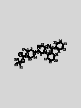 C[C@H]1CN(c2cnc(N=C(c3ccccc3)c3ccccc3)cn2)CCN1C(=O)OC(C)(C)C